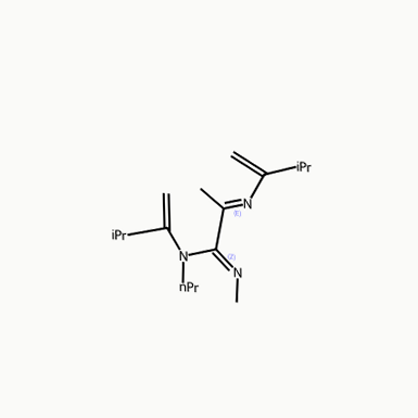 C=C(/N=C(C)/C(=N/C)N(CCC)C(=C)C(C)C)C(C)C